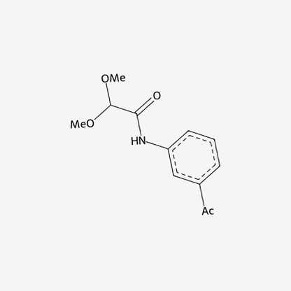 COC(OC)C(=O)Nc1cccc(C(C)=O)c1